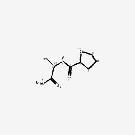 COC(=O)[C@H](C)NC(=O)C1CCCO1